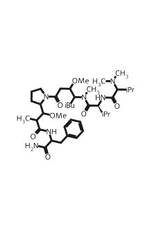 CCC(C)C(C(CC(=O)N1CCCC1C(OC)C(C)C(=O)NC(Cc1ccccc1)C(N)=O)OC)N(C)C(=O)[C@@H](NC(=O)C(C(C)C)N(C)C)C(C)C